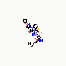 C=CC(=O)N[C@H]1CCC(NC(=O)c2sc3nccc4c3c2NC(=O)N4c2cnc(Oc3ccccc3)cc2C)C1